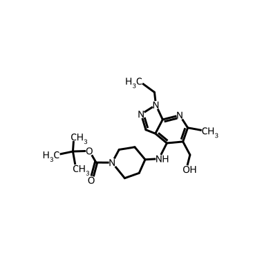 CCn1ncc2c(NC3CCN(C(=O)OC(C)(C)C)CC3)c(CO)c(C)nc21